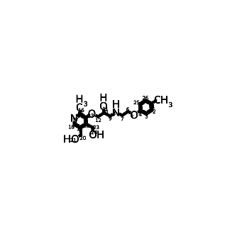 Cc1ccc(OCCNCC(O)COc2c(C)ncc(CO)c2CO)cc1